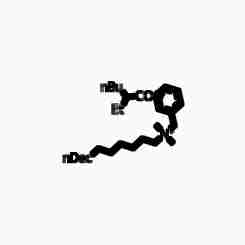 CCCCC(CC)C(=O)[O-].CCCCCCCCCCCCCCCC[N+](C)(C)Cc1ccccc1